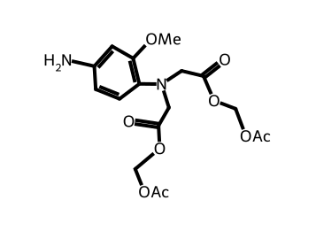 COc1cc(N)ccc1N(CC(=O)OCOC(C)=O)CC(=O)OCOC(C)=O